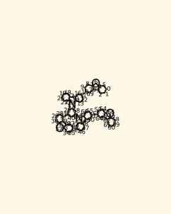 c1ccc2c(c1)oc1ccc(-c3ccc4c(c3)c3ccccc3n4-c3cc(-c4cccc5oc6ccccc6c45)cc(-n4c5ccccc5c5cc(-c6ccc7oc8ccccc8c7c6)ccc54)c3)cc12